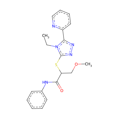 CCn1c(SC(COC)C(=O)Nc2ccccc2)nnc1-c1ccccn1